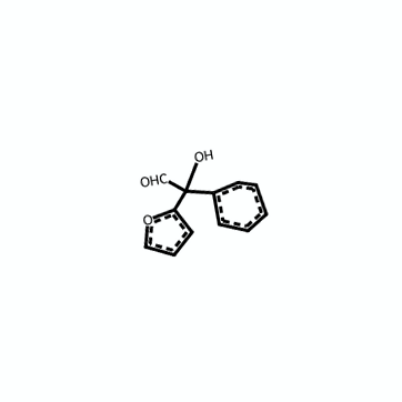 O=CC(O)(c1ccccc1)c1ccco1